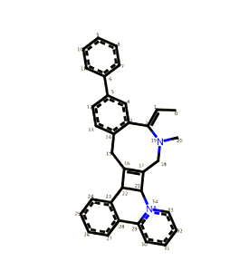 C/C=C1/c2cc(-c3ccccc3)ccc2CC2=C(CN1C)C1C2c2ccccc2-c2cccc[n+]21